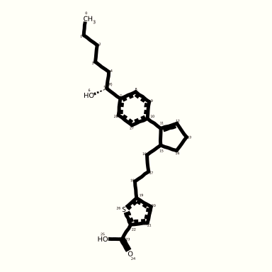 CCCCC[C@@H](O)c1ccc(C2=CCCC2CCCc2ccc(C(=O)O)s2)cc1